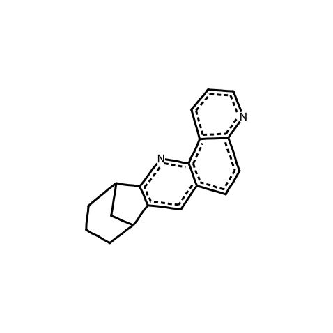 c1cnc2ccc3cc4c(nc3c2c1)C1CCCC4C1